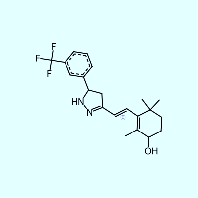 CC1=C(/C=C/C2=NNC(c3cccc(C(F)(F)F)c3)C2)C(C)(C)CCC1O